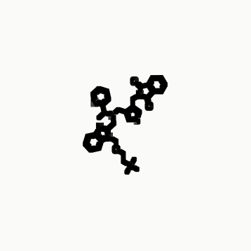 CC(c1ccccn1)N(Cc1cscc1CN1C(=O)c2ccccc2C1=O)Cc1nc2ccccc2n1COCC[Si](C)(C)C